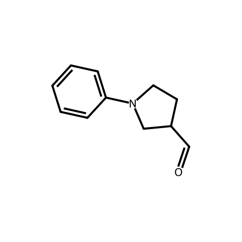 O=CC1CCN(c2ccccc2)C1